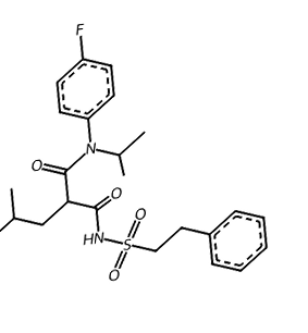 CC(C)CC(C(=O)NS(=O)(=O)CCc1ccccc1)C(=O)N(c1ccc(F)cc1)C(C)C